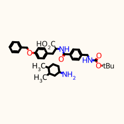 CC(C)(C)OC(=O)NCc1ccc(C(=O)N[C@@H](Cc2ccc(OCc3ccccc3)cc2)C(=O)O)cc1.CC1CCC(N)CC1C